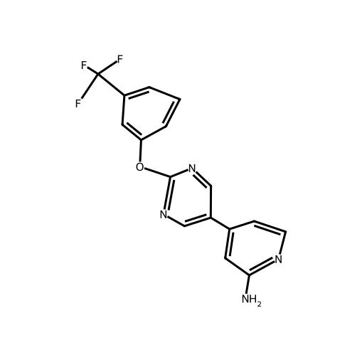 Nc1cc(-c2cnc(Oc3cccc(C(F)(F)F)c3)nc2)ccn1